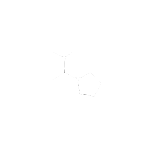 CN(C)C(Cl)N1CCCC1